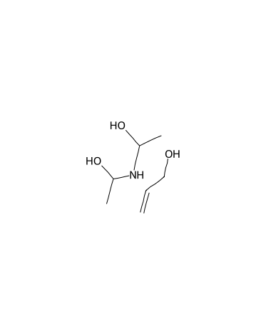 C=CCO.CC(O)NC(C)O